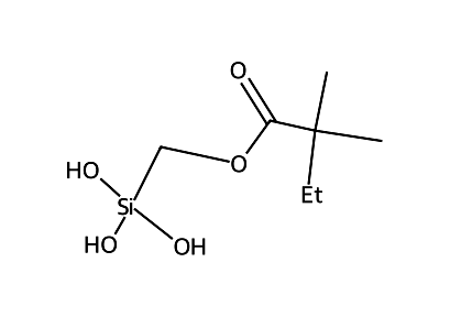 CCC(C)(C)C(=O)OC[Si](O)(O)O